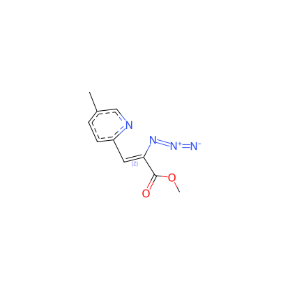 COC(=O)/C(=C/c1ccc(C)cn1)N=[N+]=[N-]